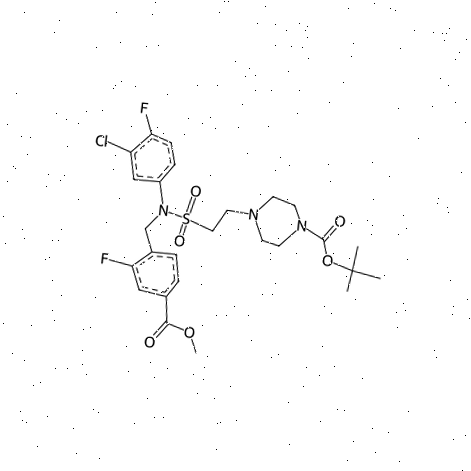 COC(=O)c1ccc(CN(c2ccc(F)c(Cl)c2)S(=O)(=O)CCN2CCN(C(=O)OC(C)(C)C)CC2)c(F)c1